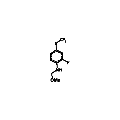 COCNc1ccc(SC(F)(F)F)cc1F